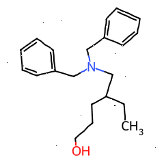 CCC(CCCO)CN(Cc1ccccc1)Cc1ccccc1